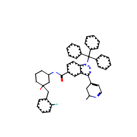 CC1CC(c2nn(C(c3ccccc3)(c3ccccc3)c3ccccc3)c3ccc(C(=O)NC4CCCC(O)(Cc5ccccc5F)C4)cc23)=CC=N1